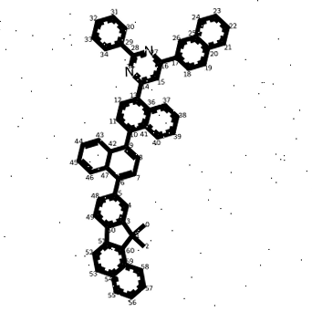 CC1(C)c2cc(C3=CC=C(c4ccc(-c5cc(-c6ccc7ccccc7c6)nc(-c6ccccc6)n5)c5ccccc45)C4C=CC=CC34)ccc2-c2ccc3ccccc3c21